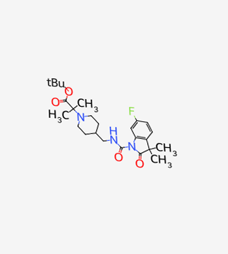 CC(C)(C)OC(=O)C(C)(C)N1CCC(CNC(=O)N2C(=O)C(C)(C)c3ccc(F)cc32)CC1